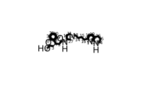 O=C(O)C[C@H](CC(=O)N[C@@H]1CCN(CCCCc2ccc3c(n2)NCCC3)C1)c1ccccc1